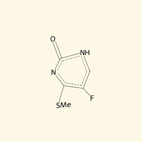 CSc1nc(=O)[nH]cc1F